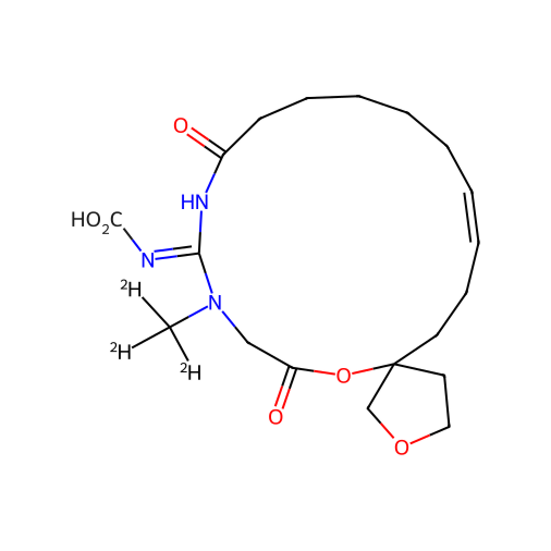 [2H]C([2H])([2H])N1CC(=O)OC2(CC/C=C\CCCCCC(=O)N/C1=N\C(=O)O)CCOC2